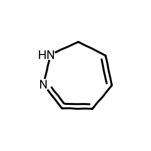 C1=CC=CCNN=1